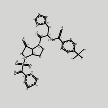 CC(C)(C)c1ccc(C(=O)NC(Cc2cccs2)C(=O)N2CCC3C2C(=O)CN3S(=O)(=O)C(=O)c2ccccn2)cc1